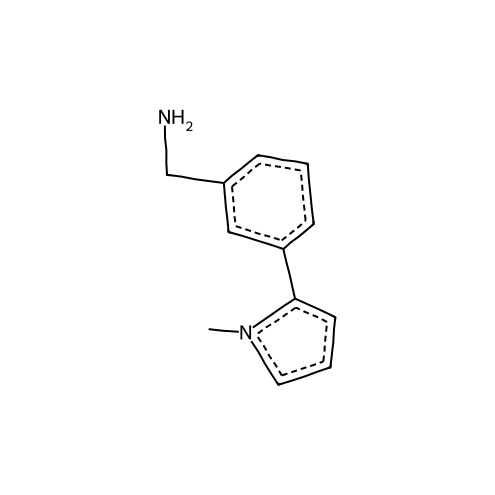 Cn1cccc1-c1cccc(CN)c1